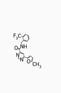 Cc1ccc(-c2cc(C(=O)NCc3ccccc3C(F)(F)F)ncn2)o1